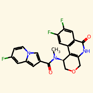 CN(C(=O)c1cc2cc(F)ccn2c1)[C@@H]1COCc2[nH]c(=O)c3cc(F)c(F)cc3c21